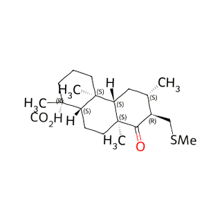 CSC[C@H]1C(=O)[C@@]2(C)CC[C@H]3[C@@](C)(CCC[C@@]3(C)C(=O)O)[C@@H]2C[C@@H]1C